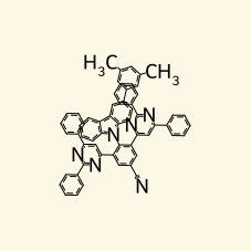 Cc1cc(C)cc(-c2ccc3c(c2)c2ccccc2n3-c2c(-c3cc(-c4ccccc4)nc(-c4ccccc4)n3)cc(C#N)cc2-c2cc(-c3ccccc3)nc(-c3ccccc3)n2)c1